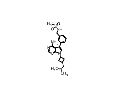 CN(C)C[C@H]1C[C@@H](n2cc(-c3cccc(CNS(C)(=O)=O)c3)c3c(N)ncnc32)C1